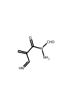 C=C(C=N)C(=O)N(N)C=O